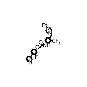 CCN1CCN(Cc2ccc(NC(=O)COc3ccc(-c4cccnc4)c(F)c3)cc2C(F)(F)F)CC1